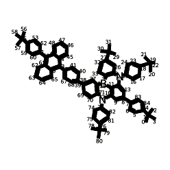 CC(C)(C)c1ccc(-c2cc3c4c(c2)N(c2ccc(C(C)(C)C)cc2)c2cc(C(C)(C)C)ccc2B4c2cc(-c4ccc(-c5c6ccccc6c(-c6ccc(C(C)(C)C)cc6)c6ccccc56)cc4)ccc2N3c2ccc(C(C)(C)C)cc2)cc1